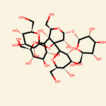 OC[C@H]1O[C@H](O[C@H]2O[C@H](CO)[C@](O)(C3O[C@H](CO)[C@@H](O)[C@H](O)[C@H]3O)[C@@](OC3O[C@H](CO)[C@@H](O)[C@H](O)[C@H]3O)(C3O[C@H](CO)[C@@H](O)[C@H](O)[C@H]3O)[C@H]2O)[C@H](O)[C@@H](O)[C@@H]1O